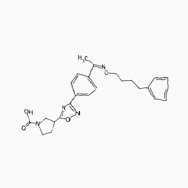 CC(=NOCCCCc1ccccc1)c1ccc(-c2noc(C3CCN(C(=O)O)C3)n2)cc1